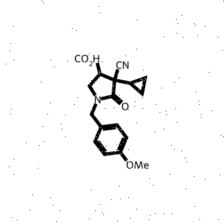 COc1ccc(CN2CC(C(=O)O)C(C#N)(C3CC3)C2=O)cc1